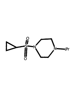 CC(C)N1CCN(S(=O)(=O)C2CC2)CC1